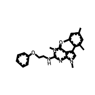 Cc1cc(C)c(-c2cn(C)c3nc(NCCOc4ccccc4)n(C)c(=O)c23)c(C)c1